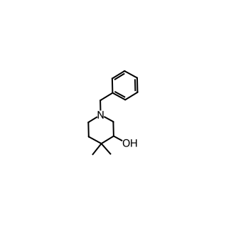 CC1(C)CCN(Cc2ccccc2)CC1O